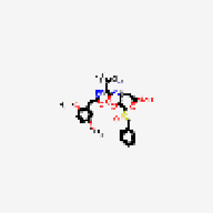 COc1ccc(OC)c(CC(=O)N[C@H](C(=O)N[C@@H](CC(=O)O)C(=O)C[S+]([O-])Cc2ccccc2)C(C)C)c1